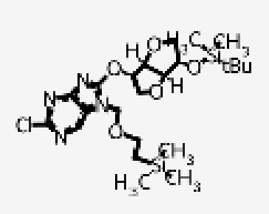 CC(C)(C)[Si](C)(C)O[C@@H]1CO[C@H]2[C@@H]1OC[C@H]2Oc1nc2nc(Cl)ncc2n1COCC[Si](C)(C)C